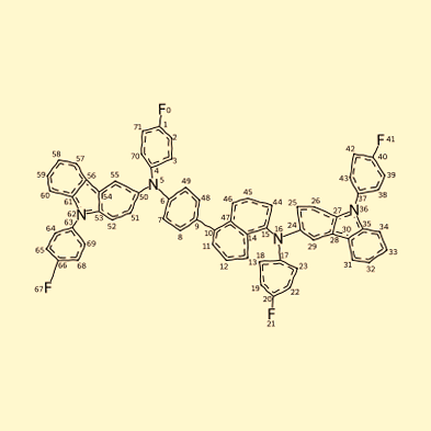 Fc1ccc(N(c2ccc(-c3cccc4c(N(c5ccc(F)cc5)c5ccc6c(c5)c5ccccc5n6-c5ccc(F)cc5)cccc34)cc2)c2ccc3c(c2)c2ccccc2n3-c2ccc(F)cc2)cc1